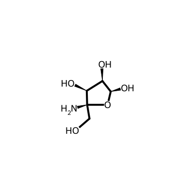 N[C@]1(CO)O[C@H](O)[C@H](O)[C@@H]1O